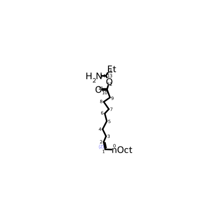 CCCCCCCC/C=C\CCCCCCCC(=O)OC(N)CC